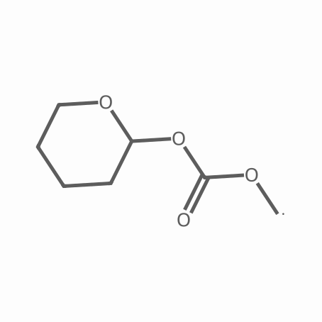 [CH2]OC(=O)OC1CCCCO1